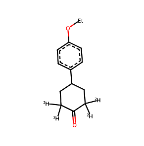 [2H]C1([2H])CC(c2ccc(OCC)cc2)CC([2H])([2H])C1=O